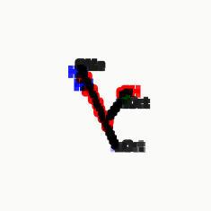 CCCCCCCC/C=C\CCCCCCCCOCC(COCCOCCOCCOCCOC(=O)CNCCOC(=O)CNCCOC)OCCCCCCCC/C=C\CCCCCCCC.O=C(O)C(F)(F)F